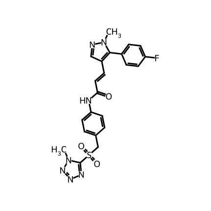 Cn1nnnc1S(=O)(=O)Cc1ccc(NC(=O)C=Cc2cnn(C)c2-c2ccc(F)cc2)cc1